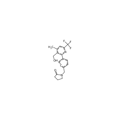 Cc1cc(C(F)(F)F)nc(-c2ccc(CN3CCCC3=O)cc2)c1CO